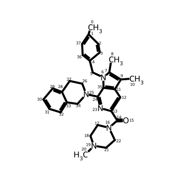 Cc1ccc(Cn2c(C)c(C)c3cc(C(=O)N4CCN(C)CC4)nc(N4CCc5ccccc5C4)c32)cc1